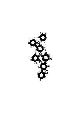 c1ccc(-n2c3ccccc3c3cc(N4c5ccccc5-n5c6cc7c(cc6c6cccc4c65)sc4ccccc47)ccc32)cc1